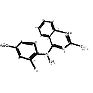 COc1ccc(N(C)c2nc(C)nc3ccccc23)c(F)c1